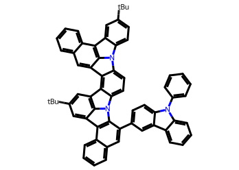 CC(C)(C)c1ccc2c(c1)c1c3ccccc3cc3c4c5c6cc(C(C)(C)C)cc7c8c9ccccc9cc(-c9ccc%10c(c9)c9ccccc9n%10-c9ccccc9)c8n(c5ccc4n2c31)c67